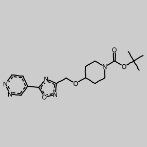 CC(C)(C)OC(=O)N1CCC(OCc2noc(-c3ccnnc3)n2)CC1